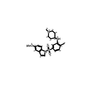 COc1ccc2c(ccn2S(=O)(=O)c2ccc(C)c(NC3CCN(C)CC3)c2)c1